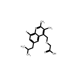 Cc1nc2c(F)cc(CC(C)C)cc2c(COCC(=O)O)c1C